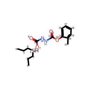 CCC[SiH](CCC)OC(=O)N=NC(=O)Oc1ccccc1C